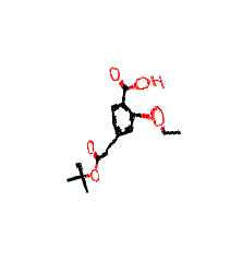 CCOc1cc(CC(=O)OC(C)(C)C)ccc1C(=O)O